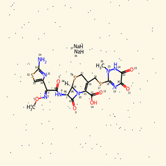 CON=C(C(=O)N[C@@H]1C(=O)N2C(C(=O)O)=C(CSc3nc(=O)c(=O)[nH]n3C)CS[C@H]12)c1csc(N)n1.[NaH].[NaH]